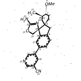 CO[C@@H]1CC[C@]2(Cc3ccc(-c4cncc(C#N)c4)cc3[C@@]23COC(N)=N3)C[C@H]1C